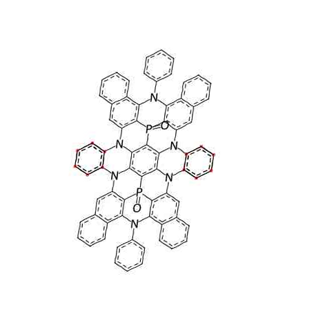 O=P12c3c4c5c6c(c3N(c3ccccc3)c3cc7ccccc7c(c31)N(c1ccccc1)c1c2c(cc2ccccc12)N4c1ccccc1)N(c1ccccc1)c1cc2ccccc2c2c1P6(=O)c1c(cc3ccccc3c1N2c1ccccc1)N5c1ccccc1